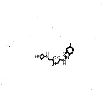 Cc1ccc2nc(NC(=O)CN(C)C(=O)CNC3CNC3)sc2c1